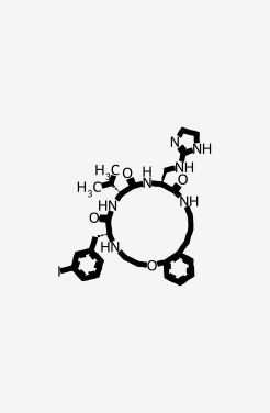 CC(C)[C@H]1NC(=O)[C@@H](Cc2cccc(I)c2)NCCOc2ccccc2CCCNC(=O)[C@H](CNC2=NCCN2)NC1=O